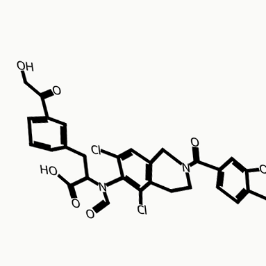 O=CN(c1c(Cl)cc2c(c1Cl)CCN(C(=O)c1ccc3ccoc3c1)C2)C(Cc1cccc(C(=O)CO)c1)C(=O)O